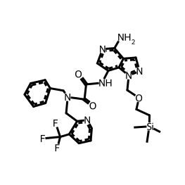 C[Si](C)(C)CCOCn1ncc2c(N)ncc(NC(=O)C(=O)N(Cc3ccccc3)Cc3ncccc3C(F)(F)F)c21